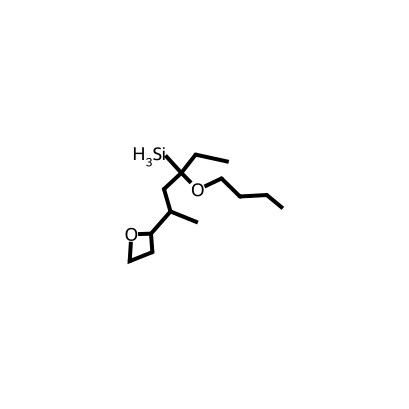 CCCCOC([SiH3])(CC)CC(C)C1CCO1